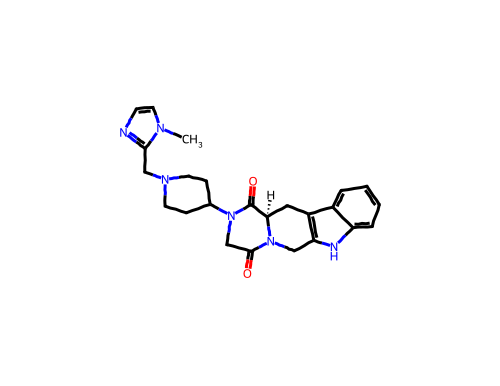 Cn1ccnc1CN1CCC(N2CC(=O)N3Cc4[nH]c5ccccc5c4C[C@@H]3C2=O)CC1